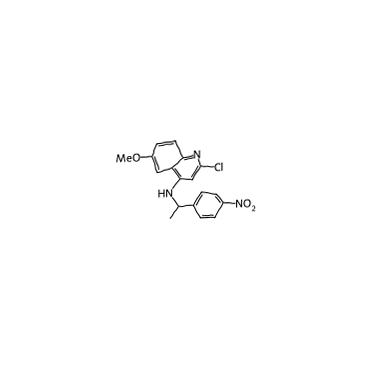 COc1ccc2nc(Cl)cc(NC(C)c3ccc([N+](=O)[O-])cc3)c2c1